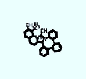 Cc1ccc2c(c1C)N1C(=C3c4ccccc4-c4ccccc4-c4ccccc4N3[C@@H]1C)CC2